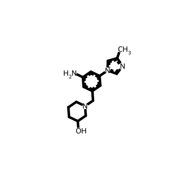 Cc1cn(-c2cc(N)cc(CN3CCCC(O)C3)c2)cn1